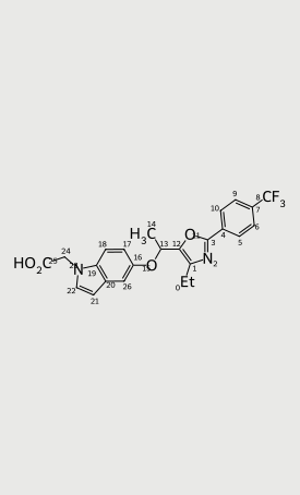 CCc1nc(-c2ccc(C(F)(F)F)cc2)oc1C(C)Oc1ccc2c(ccn2CC(=O)O)c1